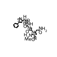 CO/N=S1/C=C(CC(N)=O)N(C2CN(C(=O)NS(=O)(=O)Nc3cc(-c4ccccc4)sn3)C2=O)C1N